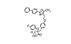 Cc1oc(-c2ccc(-c3ccccc3)cc2)nc1CCOc1ccc(CC(C)(Oc2ccc(F)cc2)C(=O)O)cc1